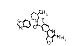 C[C@@H]1CC[C@@H](c2ccc3ncsc3c2)N(C(=O)c2cc3c4c(c(N)nc3cc2F)COC4)C1